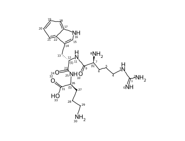 N=C(N)NCCC[C@H](N)C(=O)N[C@@H](Cc1c[nH]c2ccccc12)C(=O)N[C@@H](CCCN)C(=O)O